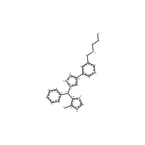 CCCOCc1cncc(-c2cn(C(c3ccccc3)c3scnc3C)nn2)c1